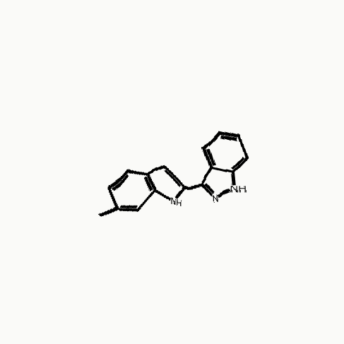 Cc1ccc2cc(-c3n[nH]c4ccccc34)[nH]c2c1